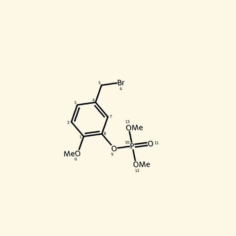 COc1ccc(CBr)cc1OP(=O)(OC)OC